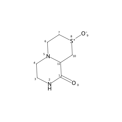 O=C1NCCN2CC[S+]([O-])CC12